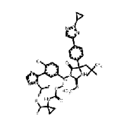 CC(C)(CC1(c2ccc(-c3cnn(C4CC4)n3)cc2)NC(=NC(=O)O)N([C@H](COC(=O)NC2(C(F)F)CC2)c2ccc(Cl)c(-c3ncnn3C(F)F)c2)C1=O)C(F)(F)F